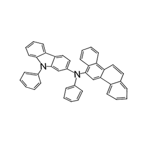 c1ccc(N(c2ccc3c4ccccc4n(-c4ccccc4)c3c2)c2cc3c4ccccc4ccc3c3ccccc23)cc1